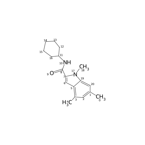 Cc1cc(C)c2cc(C(=O)NC3CCCCC3)n(C)c2c1